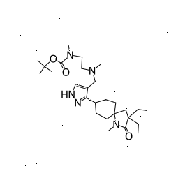 CCC1(CC)CC2(CCC(c3n[nH]cc3CN(C)CCN(C)C(=O)OC(C)(C)C)CC2)N(C)C1=O